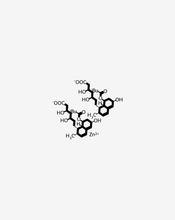 CC[C@H](C)C(=O)O[C@H]1C[C@H](O)C=C2C=C[C@H](C)[C@H](CC[C@@H](O)C[C@@H](O)CC(=O)[O-])[C@H]21.CC[C@H](C)C(=O)O[C@H]1C[C@H](O)C=C2C=C[C@H](C)[C@H](CC[C@@H](O)C[C@@H](O)CC(=O)[O-])[C@H]21.[Zn+2]